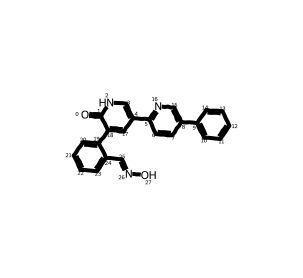 O=c1[nH]cc(-c2ccc(-c3ccccc3)cn2)cc1-c1ccccc1C=NO